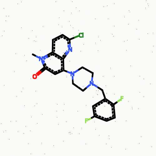 Cn1c(=O)cc(N2CCN(Cc3cc(F)ccc3F)CC2)c2nc(Cl)ccc21